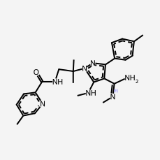 C/N=C(/N)c1c(-c2ccc(C)cc2)nn(C(C)(C)CNC(=O)c2ccc(C)cn2)c1NC